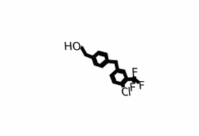 OCCc1ccc(Cc2ccc(Cl)c(C(F)(F)F)c2)cc1